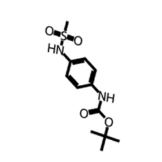 CC(C)(C)OC(=O)Nc1ccc(NS(C)(=O)=O)cc1